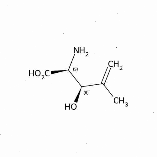 C=C(C)[C@@H](O)[C@H](N)C(=O)O